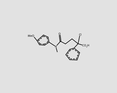 COc1ccc(N(C)C(=O)CCC(Cl)(C(=O)O)c2ccccc2)cc1